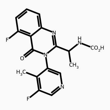 Cc1c(F)cncc1-n1c(C(C)NC(=O)O)nc2cccc(F)c2c1=O